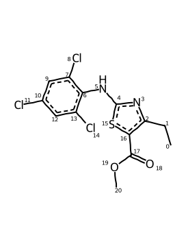 CCc1nc(Nc2c(Cl)cc(Cl)cc2Cl)sc1C(=O)OC